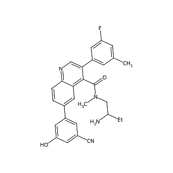 CCC(N)CN(C)C(=O)c1c(-c2cc(C)cc(F)c2)cnc2ccc(-c3cc(O)cc(C#N)c3)cc12